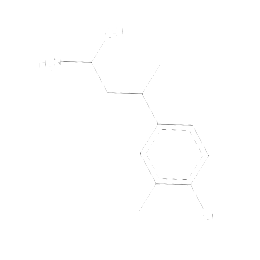 Cc1cc(C(C)CC(N)O)ccc1C(F)(F)F